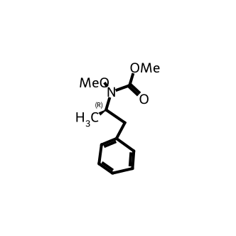 COC(=O)N(OC)[C@H](C)Cc1ccccc1